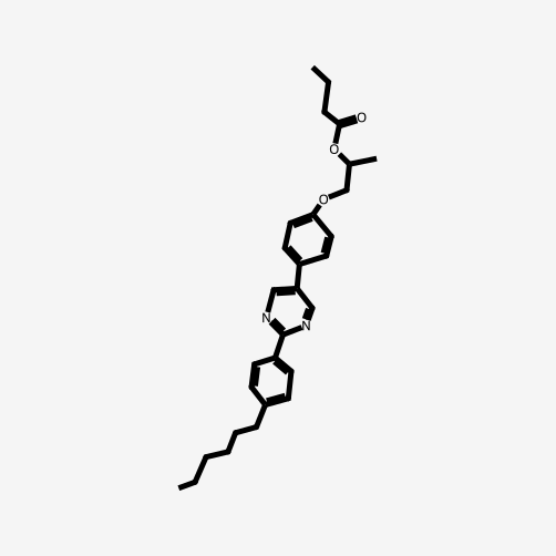 CCCCCCc1ccc(-c2ncc(-c3ccc(OCC(C)OC(=O)CCC)cc3)cn2)cc1